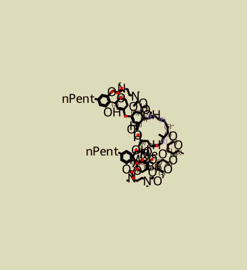 C=C(C)[C@@H]1CCC(C)=C[C@H]1c1c(O)cc(CCCCC)cc1OC(=O)N(C)CCN(C)C(=O)O[C@H]1[C@H](C)O[C@@H](O[C@H]2[C@H](C)O[C@@H](O[C@@H]3/C(C)=C/C[C@@H]4C[C@@H](C[C@]5(CC[C@H](C)[C@@H]([C@@H](C)CC)O5)O4)OC(=O)[C@@H]4C=C(C)[C@@H](OC(=O)N(C)CCN(C)C(=O)Oc5cc(CCCCC)cc(O)c5[C@@H]5C=C(C)CC[C@H]5C(=C)C)[C@H]5OC/C(=C\C=C\[C@@H]3C)[C@]54O)C[C@@H]2OC)C[C@@H]1OC